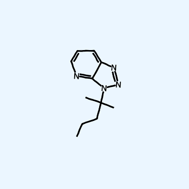 CCCC(C)(C)n1nnc2cccnc21